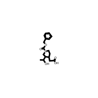 CC(O)C1CN(C(=O)OCc2ccccc2)CCC1CC(=O)O